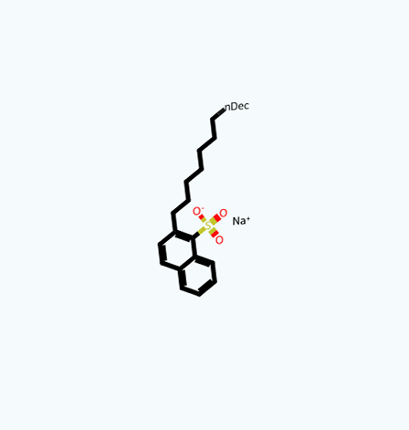 CCCCCCCCCCCCCCCCCc1ccc2ccccc2c1S(=O)(=O)[O-].[Na+]